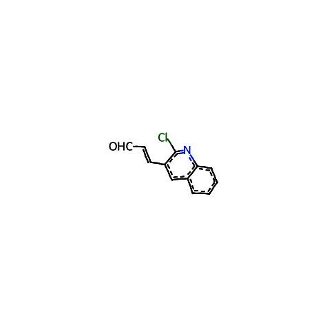 O=C/C=C/c1cc2ccccc2nc1Cl